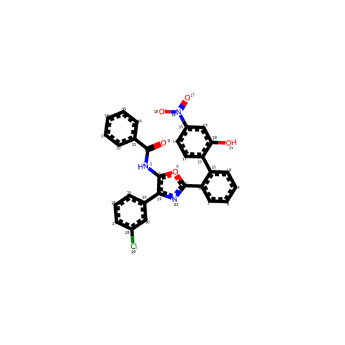 O=C(Nc1oc(-c2ccccc2-c2ccc([N+](=O)[O-])cc2O)nc1-c1cccc(Cl)c1)c1ccccc1